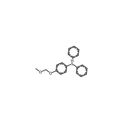 COCOc1ccc([SH](c2ccccc2)c2ccccc2)cc1